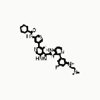 CN(C)CCNc1cc(F)cc(-c2nccc3[nH]c(-c4n[nH]c5cnc(-c6cncc(NC(=O)C7CCCCC7)c6)c(F)c45)nc23)c1